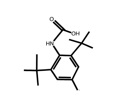 [CH2]c1cc(C(C)(C)C)c(NC(=O)O)c(C(C)(C)C)c1